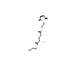 N[C@H](CCC(=O)NCCN1C(=O)C=CC1=O)C(=O)N[C@H](CCC(=O)O)C(=O)O